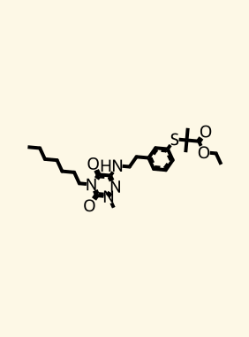 CCCCCCCn1c(=O)c(NCCc2cccc(SC(C)(C)C(=O)OCC)c2)nn(C)c1=O